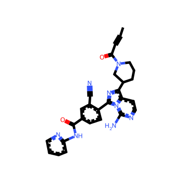 CC#CC(=O)N1CCCC(c2nc(-c3ccc(C(=O)Nc4ccccn4)cc3C#N)n3c(N)nccc23)C1